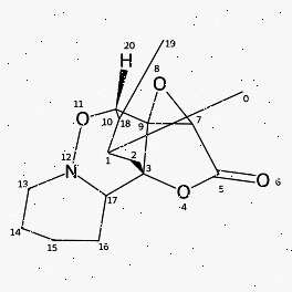 CC1C[C@]23OC(=O)C4OC42[C@@H](ON2CCCCC23)C1C